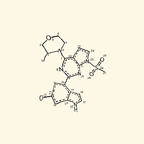 CC1COCCN1c1nc(-c2cc(Cl)cc3[nH]ccc23)nc2c1ccn2S(C)(=O)=O